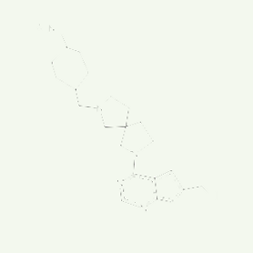 CC(=O)NC1CCC(CN2CCC3(CCN(c4ncnc5sc(CC(F)(F)F)cc45)C3)C2)CC1